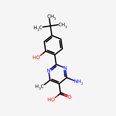 Cc1nc(-c2ccc(C(C)(C)C)cc2O)nc(N)c1C(=O)O